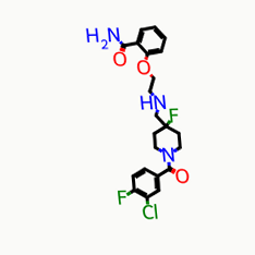 NC(=O)c1ccccc1OCCNCC1(F)CCN(C(=O)c2ccc(F)c(Cl)c2)CC1